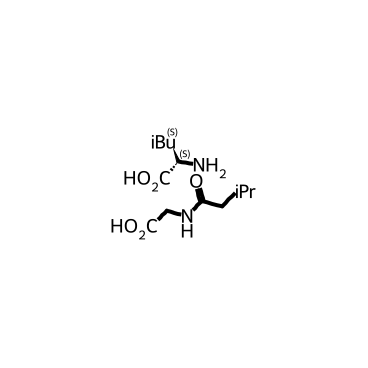 CC(C)CC(=O)NCC(=O)O.CC[C@H](C)[C@H](N)C(=O)O